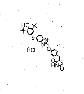 Cl.Cn1c(COc2ccc(CC3SC(=O)NC3=O)cc2)nc2ccc(Sc3cc(C(C)(C)C)c(O)c(C(C)(C)C)c3)cc21